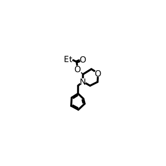 CCC(=O)O[C@@H]1COCCN1Cc1ccccc1